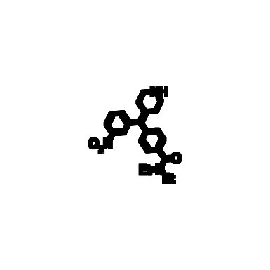 CCN(CC)C(=O)c1ccc(C(=C2CCNCC2)c2cccc([N+](=O)[O-])c2)cc1